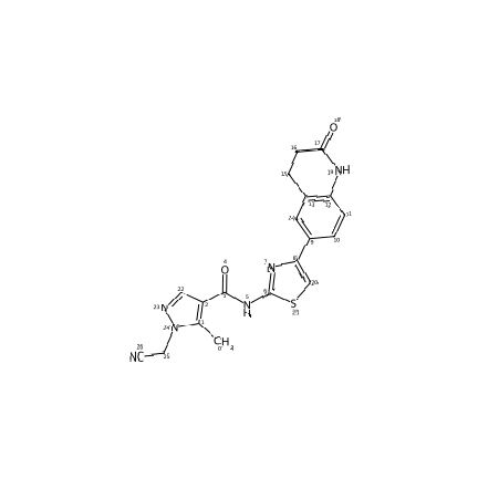 Cc1c(C(=O)Nc2nc(-c3ccc4c(c3)CCC(=O)N4)cs2)cnn1CC#N